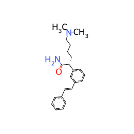 CN(C)CCCC[C@@H](C(N)=O)c1cccc(C=Cc2ccccc2)c1